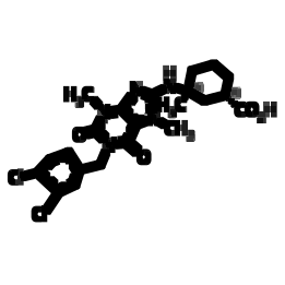 Cn1c(N[C@@]2(C)CCC[C@H](C(=O)O)C2)nc2c1c(=O)n(Cc1ccc(Cl)c(Cl)c1)c(=O)n2C